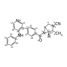 CC1[C@H]2C(CN1C#N)N2C(=O)c1ccc(-c2cnccc2Nc2ccccc2)cc1